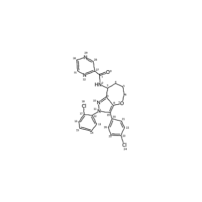 O=C(NC1CCCOc2c1nn(-c1ccccc1Cl)c2-c1ccc(Cl)cc1)c1cnccn1